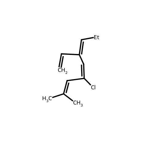 C=CC(=C/CC)/C=C(/Cl)C=C(C)C